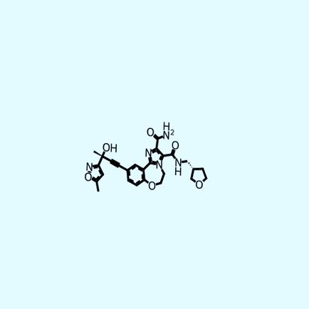 Cc1cc([C@](C)(O)C#Cc2ccc3c(c2)-c2nc(C(N)=O)c(C(=O)NC[C@@H]4CCOC4)n2CCO3)no1